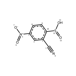 N#Cc1cc([N+](=O)[O-])ccc1S(=O)O